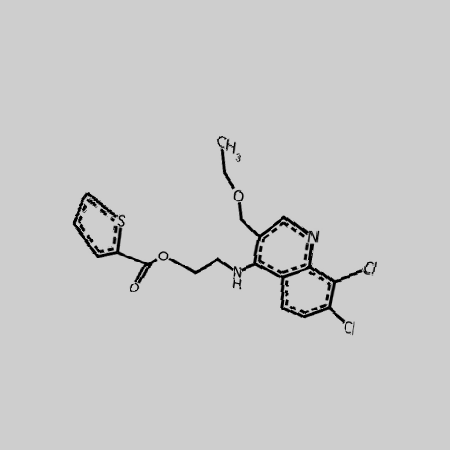 CCOCc1cnc2c(Cl)c(Cl)ccc2c1NCCOC(=O)c1cccs1